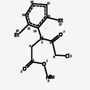 CCCCOC(=O)CN(C(=O)CCl)c1c(CC)cccc1CC